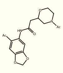 CC(=O)c1cc2c(cc1NC(=O)CC1CN(C(C)=O)CCO1)OCO2